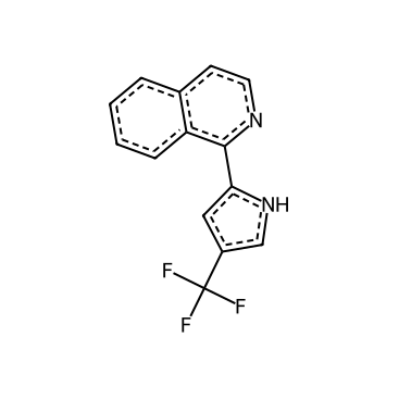 FC(F)(F)c1c[nH]c(-c2nccc3ccccc23)c1